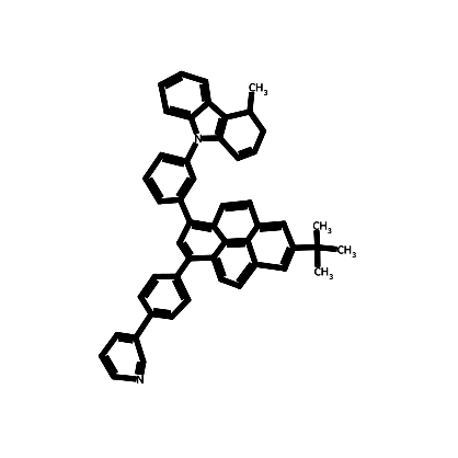 CC1CC=Cc2c1c1ccccc1n2-c1cccc(-c2cc(-c3ccc(-c4cccnc4)cc3)c3ccc4cc(C(C)(C)C)cc5ccc2c3c45)c1